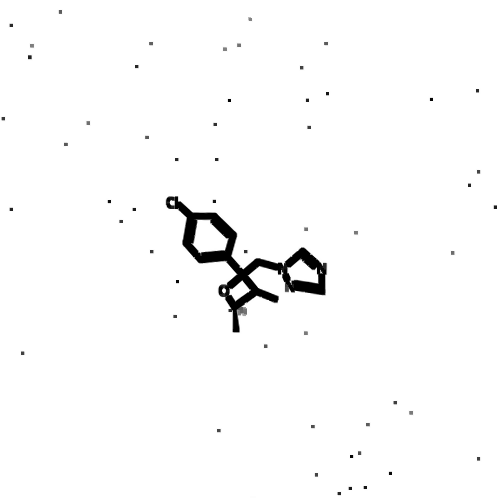 CC1[C@@H](C)OC1(Cn1cncn1)c1ccc(Cl)cc1